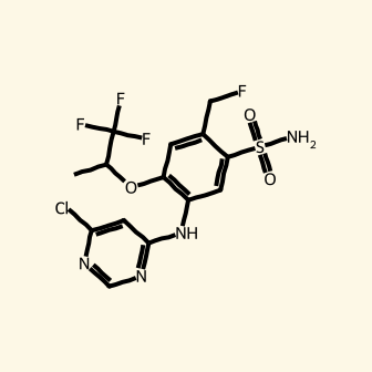 CC(Oc1cc(CF)c(S(N)(=O)=O)cc1Nc1cc(Cl)ncn1)C(F)(F)F